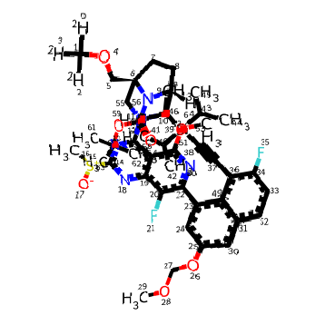 [2H]C([2H])([2H])OC[C@]12CC[C@H](CN(c3nc([S+](C)[O-])nc4c(F)c(-c5cc(OCOC)cc6ccc(F)c(C#C[Si](C(C)C)(C(C)C)C(C)C)c56)nc(OC)c34)C1)N2C(=O)OC(C)(C)C